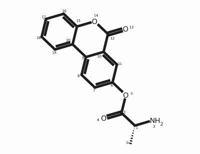 C[C@@H](N)C(=O)Oc1ccc2c(c1)c(=O)oc1c[c]ccc12